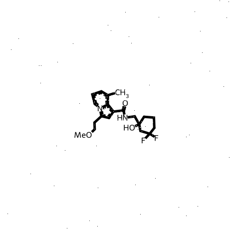 COCCc1cc(C(=O)NCC2(O)CCCC(F)(F)C2)c2c(C)cccn12